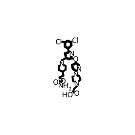 NS(=O)(=O)CCC1CCN(Cc2cc(Oc3ccc(N4CCN(CCC(=O)O)CC4)nc3)nc(-c3cc(Cl)cc(Cl)c3)c2)CC1